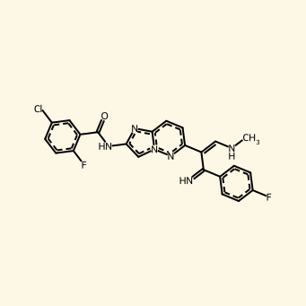 CN/C=C(\C(=N)c1ccc(F)cc1)c1ccc2nc(NC(=O)c3cc(Cl)ccc3F)cn2n1